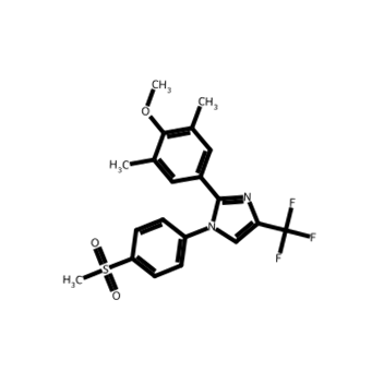 COc1c(C)cc(-c2nc(C(F)(F)F)cn2-c2ccc(S(C)(=O)=O)cc2)cc1C